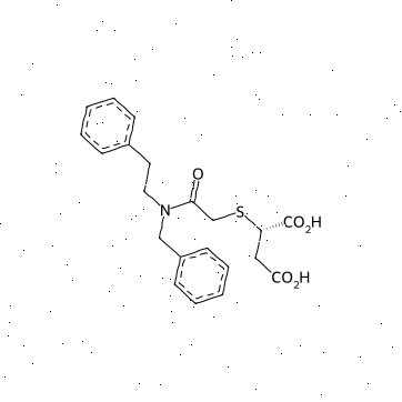 O=C(O)C[C@H](SCC(=O)N(CCc1ccccc1)Cc1ccccc1)C(=O)O